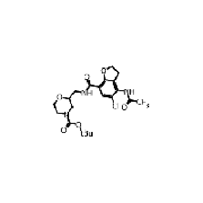 CC(C)(C)OC(=O)N1CCOC(CNC(=O)c2cc(Cl)c(NC(=O)C(F)(F)F)c3c2OCC3)C1